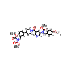 CC(C)(C)OC(=O)N(Cc1cccc(C2CCN(C(=O)c3cncc(N(Cc4ccc(OC(F)(F)F)cc4)C(=O)OC(C)(C)C)c3)CC2)c1)C(=O)OC(C)(C)C